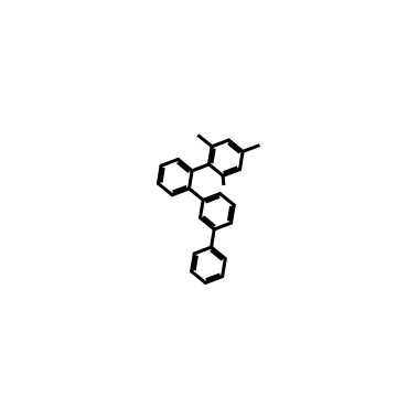 Cc1cc(C)c(-c2ccccc2-c2cccc(-c3ccccc3)c2)c(C)c1